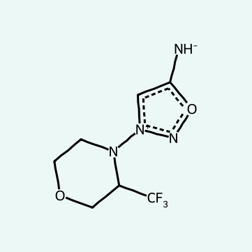 [NH-]c1c[n+](N2CCOCC2C(F)(F)F)no1